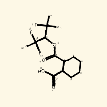 CC(F)(F)C(OC(=O)C1CCCCC1C(=O)O)C(F)(F)F